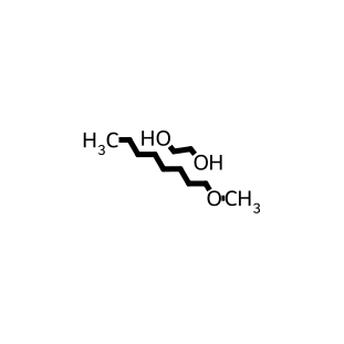 CCCCCCCCOC.OCCO